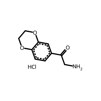 Cl.NCC(=O)c1ccc2c(c1)OCCO2